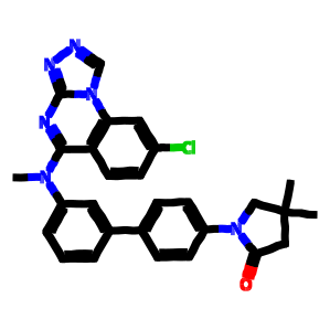 CN(c1cccc(-c2ccc(N3CC(C)(C)CC3=O)cc2)c1)c1nc2nncn2c2cc(Cl)ccc12